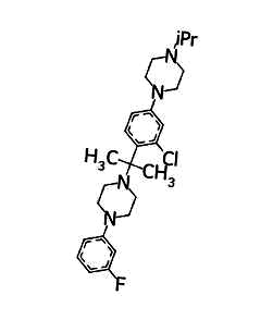 CC(C)N1CCN(c2ccc(C(C)(C)N3CCN(c4cccc(F)c4)CC3)c(Cl)c2)CC1